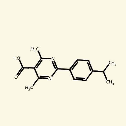 Cc1nc(-c2ccc(C(C)C)cc2)nc(C)c1C(=O)O